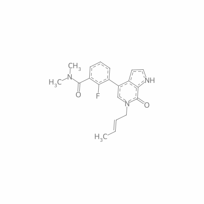 CC=CCn1cc(-c2cccc(C(=O)N(C)C)c2F)c2cc[nH]c2c1=O